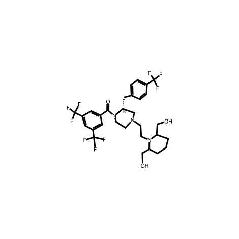 O=C(c1cc(C(F)(F)F)cc(C(F)(F)F)c1)N1CCN(CCN2C(CO)CCCC2CO)C[C@H]1Cc1ccc(C(F)(F)F)cc1